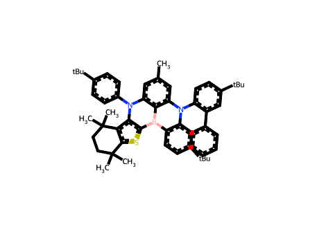 Cc1cc2c3c(c1)N(c1ccc(C(C)(C)C)cc1)c1c(sc4c1C(C)(C)CCC4(C)C)B3c1ccc(C(C)(C)C)cc1N2c1ccc(C(C)(C)C)cc1-c1ccccc1